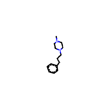 CN1CCN(CC[CH]c2ccccc2)CC1